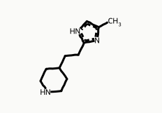 Cc1c[nH]c(CCC2CCNCC2)n1